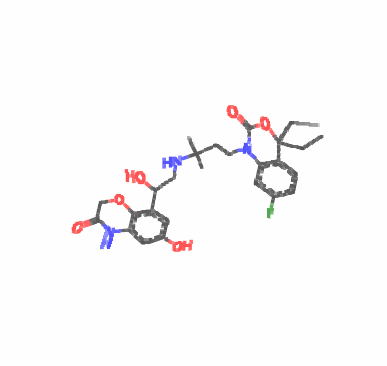 CCC1(CC)OC(=O)N(CCC(C)(C)NCC(O)c2cc(O)cc3c2OCC(=O)N3)c2cc(F)ccc21